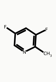 Cc1ncc(F)cc1F